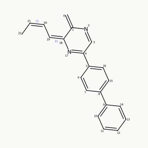 C=c1ncc(-c2ccc(-c3ccccc3)cc2)n/c1=C/C=C\C